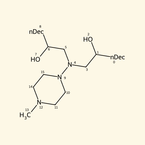 CCCCCCCCCCC(O)CN(CC(O)CCCCCCCCCC)N1CCN(C)CC1